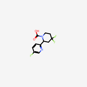 O=C(O)N1CCC(F)(F)CC1c1ccc(F)cn1